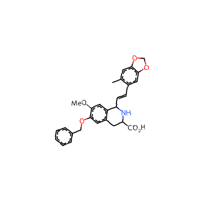 COc1cc2c(cc1OCc1ccccc1)CC(C(=O)O)NC2/C=C/c1cc2c(cc1C)OCO2